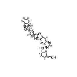 C#Cc1cccc(Nc2ncnc3ccc(NC(=O)c4ccc(C(=O)NC5CC=CC=C5N)s4)cc23)c1